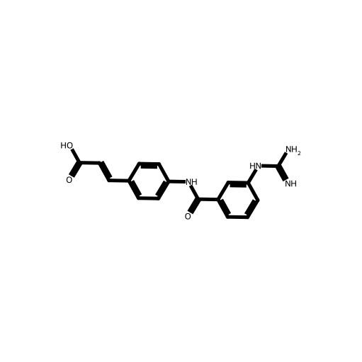 N=C(N)Nc1cccc(C(=O)Nc2ccc(C=CC(=O)O)cc2)c1